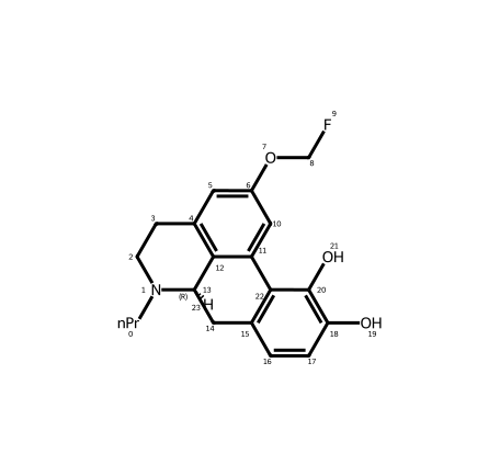 CCCN1CCc2cc(OCF)cc3c2[C@H]1Cc1ccc(O)c(O)c1-3